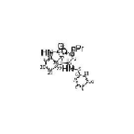 CCC[C@@H]1C[C@H](NCc2ccccc2)CC2(O1)C(=O)Nc1ccccc12